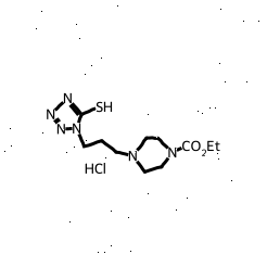 CCOC(=O)N1CCN(CCCn2nnnc2S)CC1.Cl